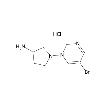 Cl.NC1CCN(N2C=C(Br)C=NC2)C1